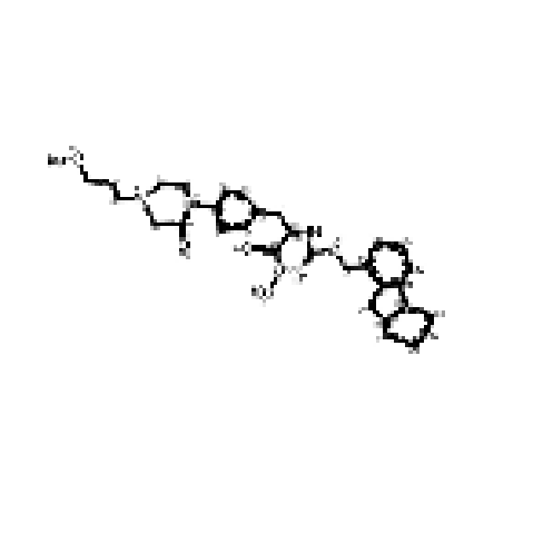 COCCCN1CCN(c2ccc(CC(NC(=O)OCc3cccc4c3Cc3ccccc3-4)C(=O)OC(C)(C)C)cc2)C(=O)C1